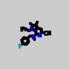 Cc1c(C)n(CC(C)C)c2c(N(C)Cc3ccc(F)cc3)nc(C#N)cc12